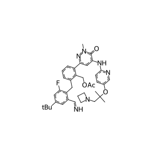 CC(=O)OCc1c(Cc2c(F)cc(C(C)(C)C)cc2C=N)cccc1-c1cc(Nc2ccc(OC(C)(C)CN3CCC3)cn2)c(=O)n(C)n1